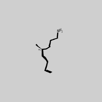 C=CCC[C@@H](C)CCCN